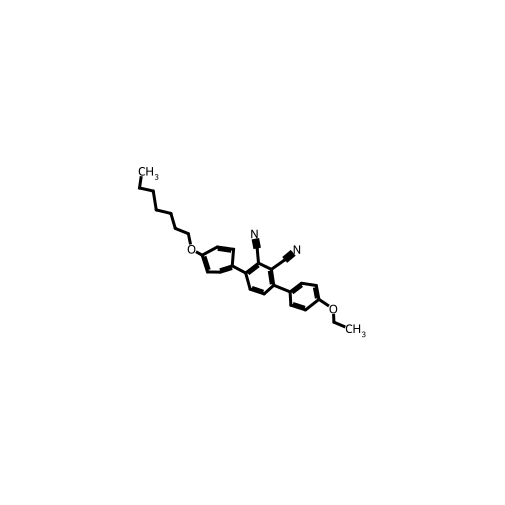 CCCCCCCOc1ccc(-c2ccc(-c3ccc(OCC)cc3)c(C#N)c2C#N)cc1